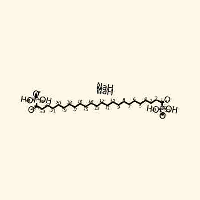 O=C(CCCCCCCCCCCCCCCCCCCCCCC(=O)P(=O)(O)O)P(=O)(O)O.[NaH].[NaH]